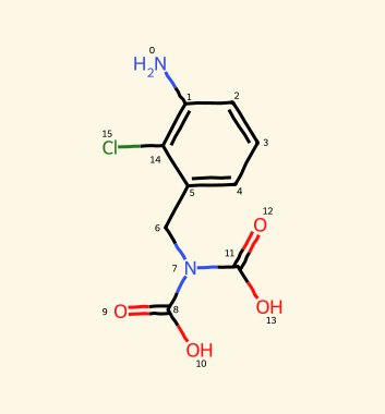 Nc1cccc(CN(C(=O)O)C(=O)O)c1Cl